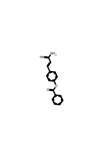 N=C(N)/C=C/c1ccc(OC(=O)c2ccccc2)cc1